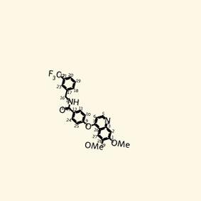 COc1cc2nccc(Oc3ccc(C(=O)NCc4cccc(C(F)(F)F)c4)cc3)c2cc1OC